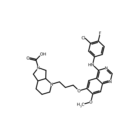 COc1cc2ncnc(Nc3ccc(F)c(Cl)c3)c2cc1OCCCN1CCCC2CN(C(=O)O)CC21